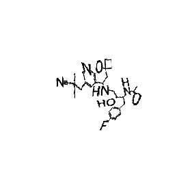 CC(=O)N[C@@H](Cc1ccc(F)cc1)[C@@H](O)CN[C@H]1CC2(CCC2)Oc2ncc(CC(C)(C)C#N)cc21